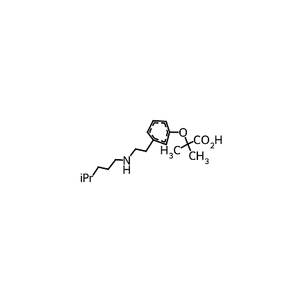 CC(C)CCCNCCc1cccc(OC(C)(C)C(=O)O)c1